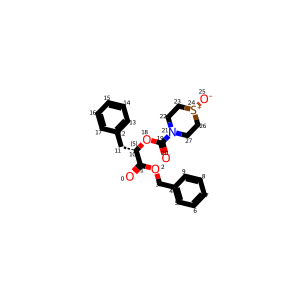 O=C(OCc1ccccc1)[C@H](Cc1ccccc1)OC(=O)N1CC[S+]([O-])CC1